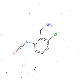 NCc1c(Cl)cccc1N=C=O